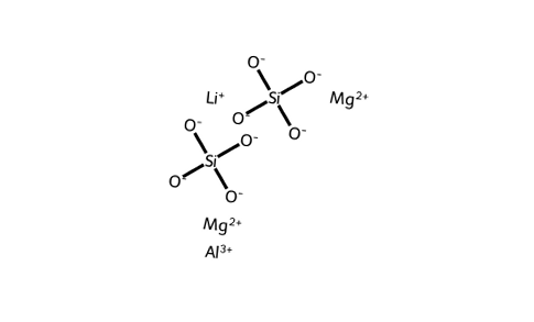 [Al+3].[Li+].[Mg+2].[Mg+2].[O-][Si]([O-])([O-])[O-].[O-][Si]([O-])([O-])[O-]